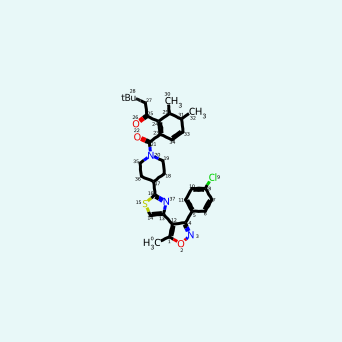 Cc1onc(-c2ccc(Cl)cc2)c1-c1csc(C2CCN(C(=O)C3=C(C(=O)CC(C)(C)C)C(C)C(C)C=C3)CC2)n1